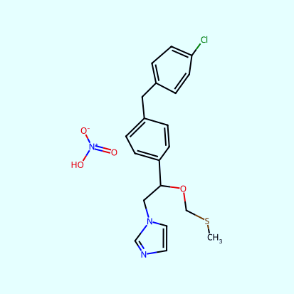 CSCOC(Cn1ccnc1)c1ccc(Cc2ccc(Cl)cc2)cc1.O=[N+]([O-])O